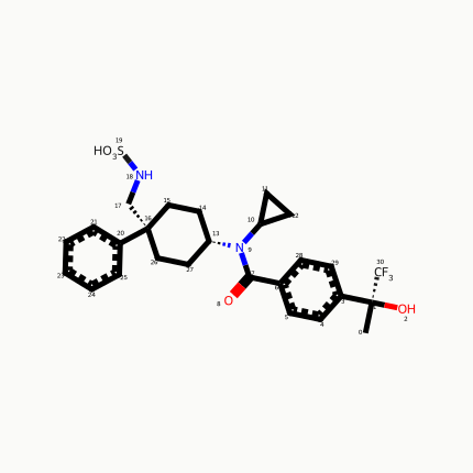 C[C@](O)(c1ccc(C(=O)N(C2CC2)[C@H]2CC[C@](CNS(=O)(=O)O)(c3ccccc3)CC2)cc1)C(F)(F)F